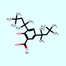 CC(C)(C)CC(C)(C)c1cc(C(=O)O)c(O)c(C(C)(C)CC(C)(C)C)c1.[Zn]